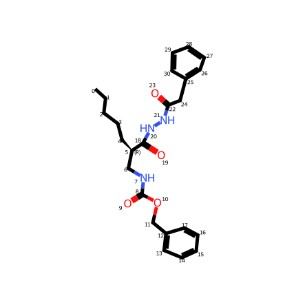 CCCCC[C@H](CNC(=O)OCc1ccccc1)C(=O)NNC(=O)Cc1ccccc1